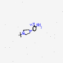 CC(C)(C)N1CCN(c2ccc(N)c(N)c2)CC1